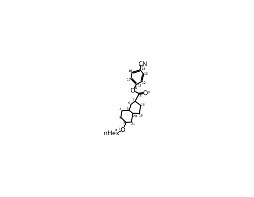 CCCCCCOC1CCC2CC(C(=O)Oc3ccc(C#N)cc3)CCC2C1